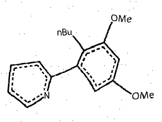 CCCCc1c(OC)cc(OC)cc1-c1ccccn1